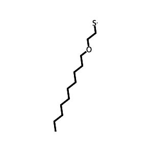 CCCCCCCCCCOCC[S]